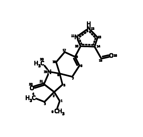 CCC1(CC)CC2(CC=C(c3n[nH]cc3C=O)CC2)N(C)C1=O